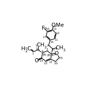 C=CC(C)[C@H]1C[C@]2(C(C)Cc3ccc(OC)c(F)c3)OCCC2=CC1=O